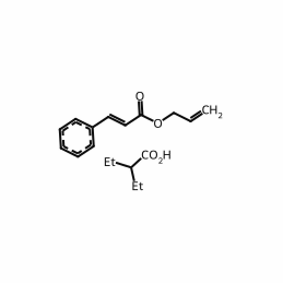 C=CCOC(=O)/C=C/c1ccccc1.CCC(CC)C(=O)O